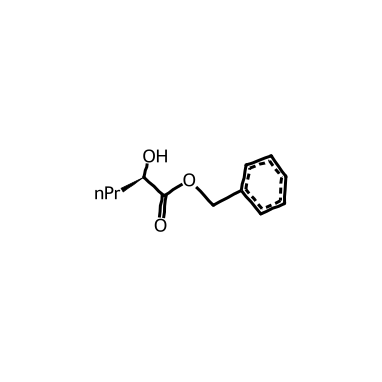 CCC[C@@H](O)C(=O)OCc1ccccc1